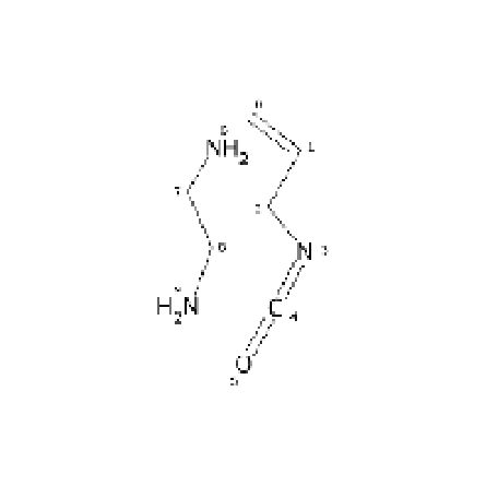 C=CCN=C=O.NCCN